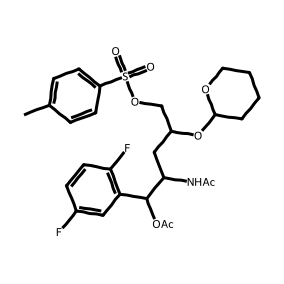 CC(=O)NC(CC(COS(=O)(=O)c1ccc(C)cc1)OC1CCCCO1)C(OC(C)=O)c1cc(F)ccc1F